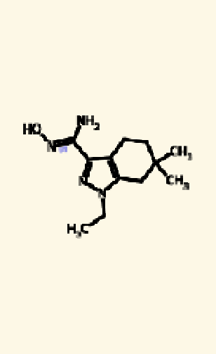 CCn1nc(/C(N)=N/O)c2c1CC(C)(C)CC2